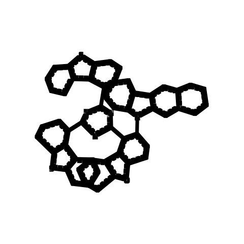 c1ccc2cc3c(cc2c1)c1ccccc1n3-c1ccc2oc3ccccc3c2c1-c1nc(-c2cccc3sc4ccccc4c23)nc(-c2cccc3sc4ccccc4c23)n1